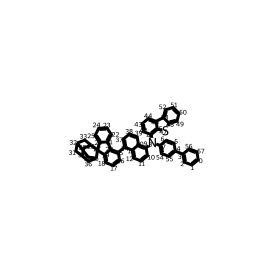 c1ccc(-c2ccc(N(c3cccc4c(-c5cccc6c5-c5ccccc5C65C6CC7CC(C6)CC5C7)cccc34)c3cccc4c3sc3ccccc34)cc2)cc1